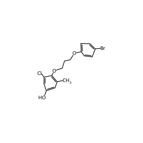 Cc1cc(O)cc(Cl)c1OCCCOc1ccc(Br)cc1